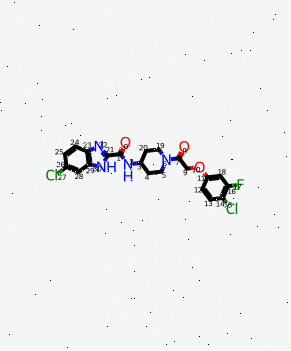 O=C(NC1CCN(C(=O)COc2ccc(Cl)c(F)c2)CC1)c1nc2ccc(Cl)cc2[nH]1